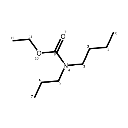 CCCCN(CCC)C(=O)OCC